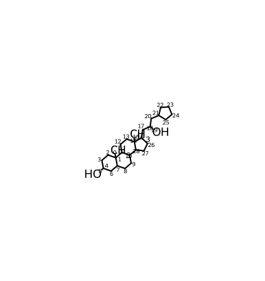 CC12CCC(O)CC1CCC1C2CCC2(C)C(CC(O)CC3CCCC3)CCC12